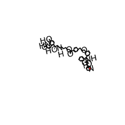 O=C(NC(c1ccccc1)c1cccc(OCCc2ccc(C(=O)OCCCCNC[C@@H](O)c3ccc(O)c4[nH]c(=O)ccc34)cc2)c1)O[C@H]1CN2CCC1CC2